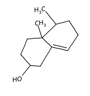 CC1CCC=C2CC(O)CCC21C